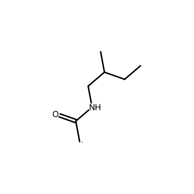 [CH2]C(=O)NCC(C)CC